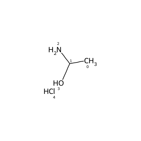 CC(N)O.Cl